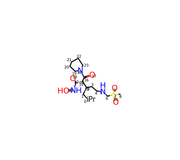 CC(C)C[C@H](CCNCS(C)(=O)=O)[C@H](C(=O)NO)C(=O)N1CCCCC1